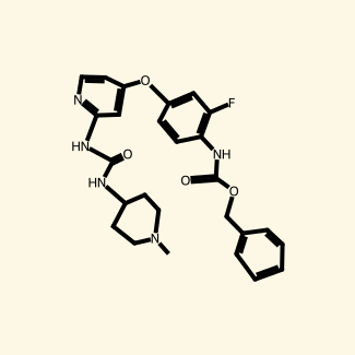 CN1CCC(NC(=O)Nc2cc(Oc3ccc(NC(=O)OCc4ccccc4)c(F)c3)ccn2)CC1